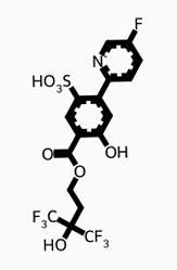 O=C(OCCC(O)(C(F)(F)F)C(F)(F)F)c1cc(S(=O)(=O)O)c(-c2ccc(F)cn2)cc1O